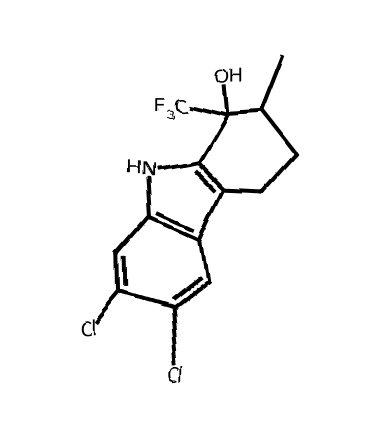 CC1CCc2c([nH]c3cc(Cl)c(Cl)cc23)C1(O)C(F)(F)F